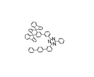 c1ccc(-c2ccc(-c3cccc(-c4nc(-c5ccccc5)nc(-c5cccc(-c6ccc7c(c6)C6(c8ccccc8-c8ccccc86)c6ccccc6C76c7ccccc7-c7ccccc76)c5)n4)c3)cc2)cc1